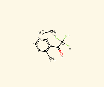 CC.Cc1ccccc1C(=O)C(F)(F)F